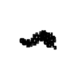 CC(OC(=O)Nc1c(-c2ccc3cc(-c4ccc(OC=O)s4)ccc3c2)cnn1C)c1ccccc1